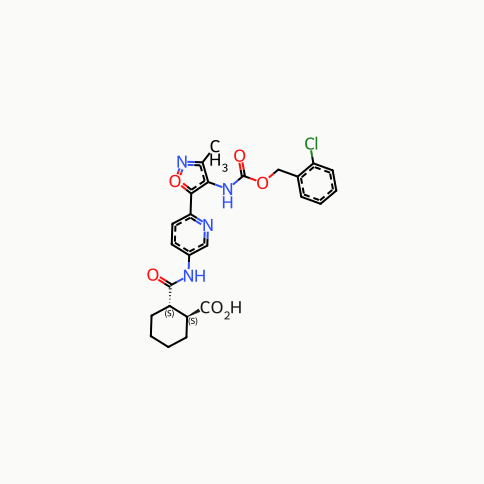 Cc1noc(-c2ccc(NC(=O)[C@H]3CCCC[C@@H]3C(=O)O)cn2)c1NC(=O)OCc1ccccc1Cl